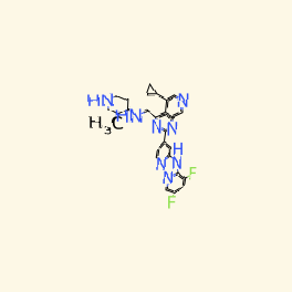 CC1CNCCC1NCc1nc(-c2ccnc(Nc3ncc(F)cc3F)c2)nc2cncc(C3CC3)c12